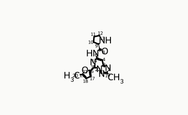 Cc1nc2cc(NC(=O)[C@H]3CCCN3)nc(-c3ccc(C)o3)n2n1